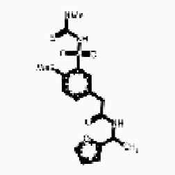 CNC(=S)NS(=O)(=O)c1cc(CC(=O)NC(C)c2ccco2)ccc1SC